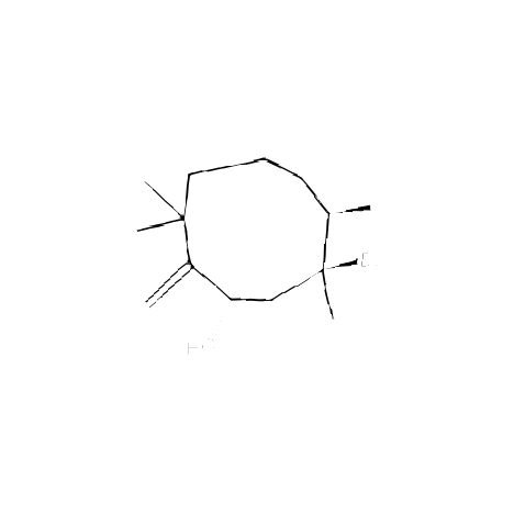 C=C1[C@@H](O)C[C@](C)(CC)[C@H](C)CCCC1(C)C